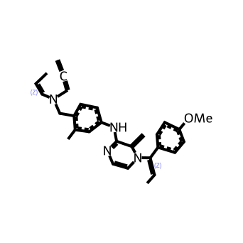 C=C=CN(/C=C\C)Cc1ccc(NC2=NC=CN(/C(=C\C)c3ccc(OC)cc3)C2=C)cc1C